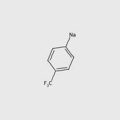 FC(F)(F)c1cc[c]([Na])cc1